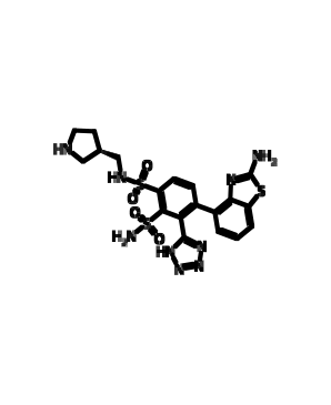 Nc1nc2c(-c3ccc(S(=O)(=O)NC[C@@H]4CCNC4)c(S(N)(=O)=O)c3-c3nnn[nH]3)cccc2s1